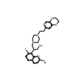 COc1ccc2ccc(F)c(C(CO)CN3CCN(CCc4cc5c(cn4)OCCO5)CC3)c2n1